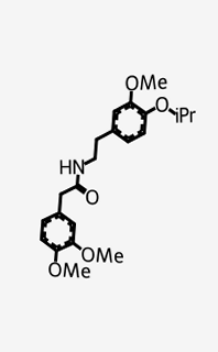 COc1ccc(CC(=O)NCCc2ccc(OC(C)C)c(OC)c2)cc1OC